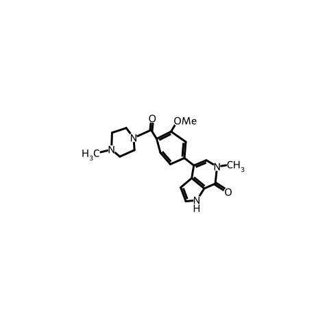 COc1cc(-c2cn(C)c(=O)c3[nH]ccc23)ccc1C(=O)N1CCN(C)CC1